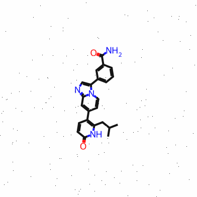 CC(C)Cc1[nH]c(=O)ccc1-c1ccn2c(-c3cccc(C(N)=O)c3)cnc2c1